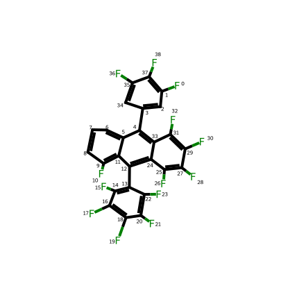 Fc1cc(-c2c3cccc(F)c3c(-c3c(F)c(F)c(F)c(F)c3F)c3c(F)c(F)c(F)c(F)c23)cc(F)c1F